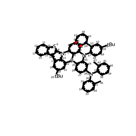 Cc1cc2c3c(c1)-n1c4sc5ccccc5c4c4cc(C(C)(C)C)cc(c41)B3c1ccc(N(c3ccccc3C)c3ccccc3C)cc1N2c1ccc(C(C)(C)C)cc1-c1ccccc1